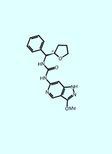 COc1n[nH]c2cc(NC(=O)NC(c3ccccc3)[C@H]3CCCO3)ncc12